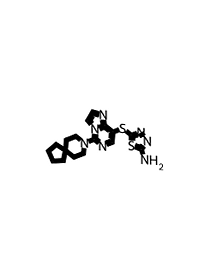 Nc1nnc(Sc2cnc(N3CCC4(CCCC4)CC3)n3ccnc23)s1